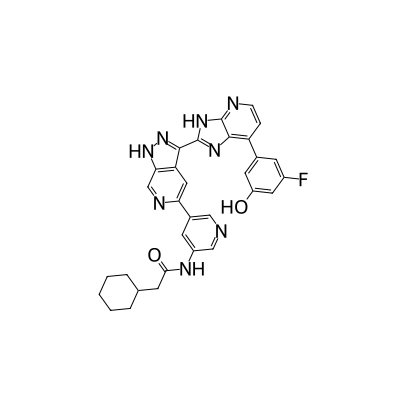 O=C(CC1CCCCC1)Nc1cncc(-c2cc3c(-c4nc5c(-c6cc(O)cc(F)c6)ccnc5[nH]4)n[nH]c3cn2)c1